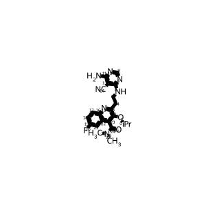 CC(C)Oc1c(CCNc2ncnc(N)c2C#N)nc2ccc(F)cc2c1C(=O)N(C)C